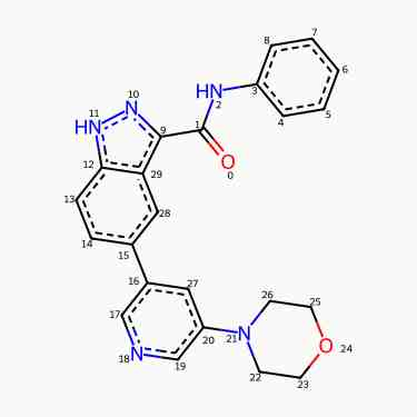 O=C(Nc1ccccc1)c1n[nH]c2ccc(-c3cncc(N4CCOCC4)c3)cc12